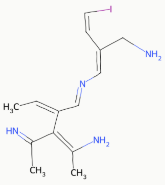 C/C=C(/C=N/C=C(\C=C/I)CN)C(\C(C)=N)=C(\C)N